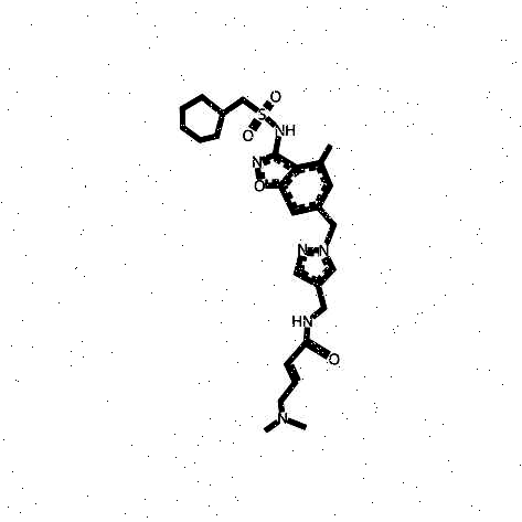 Cc1cc(Cn2cc(CNC(=O)/C=C/CN(C)C)cn2)cc2onc(NS(=O)(=O)CC3CCCCC3)c12